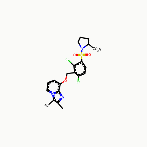 CC(=O)c1c(C)nc2c(OCc3c(Cl)ccc(S(=O)(=O)N4CCCC4C(=O)O)c3Cl)cccn12